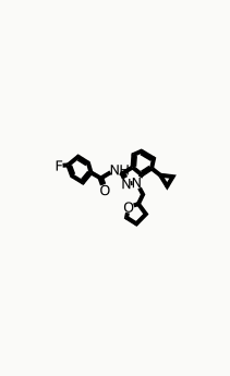 O=C(Nc1nn(CC2CCCO2)c2c(C3CC3)cccc12)c1ccc(F)cc1